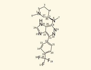 CN1CCC[C@@H](N(C)c2nnc(-c3ccc(C(F)(F)F)cc3)c3nc[nH]c23)C1